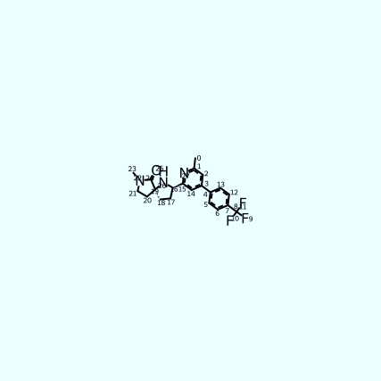 Cc1cc(-c2ccc(C(F)(F)F)cc2)cc([C@H]2CC[C@@]3(CCN(C)C3=O)N2)n1